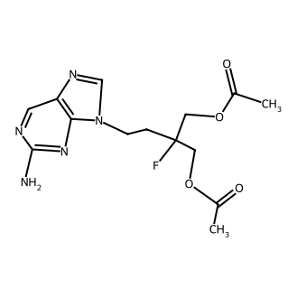 CC(=O)OCC(F)(CCn1cnc2cnc(N)nc21)COC(C)=O